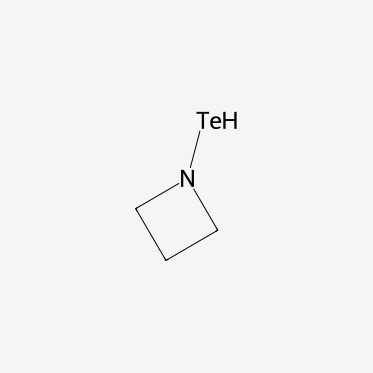 [TeH]N1CCC1